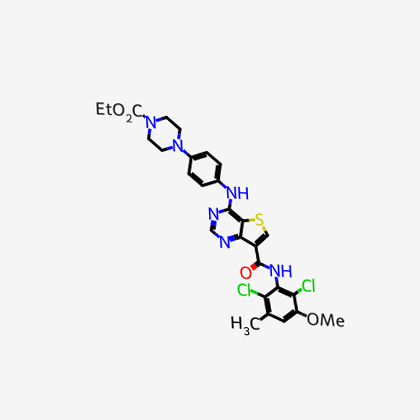 CCOC(=O)N1CCN(c2ccc(Nc3ncnc4c(C(=O)Nc5c(Cl)c(C)cc(OC)c5Cl)csc34)cc2)CC1